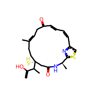 C=C(O)C(C)[C@@]1(S)CC/C(C)=C/CC(=O)/C=C/C=C\c2csc(n2)[C@@H](C)NC(=O)C1